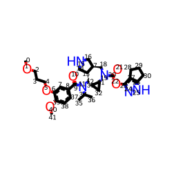 COCCCOc1cc(C(=O)N(C[C@@H]2CNC[C@H]2CN(C(=O)Oc2n[nH]c3c2CCC3)C2CC2)C(C)C)ccc1OC